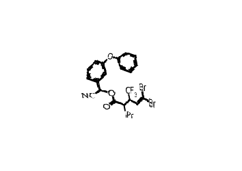 CC(C)C(C(=O)OC(C#N)c1cccc(Oc2ccccc2)c1)C(C=C(Br)Br)C(F)(F)F